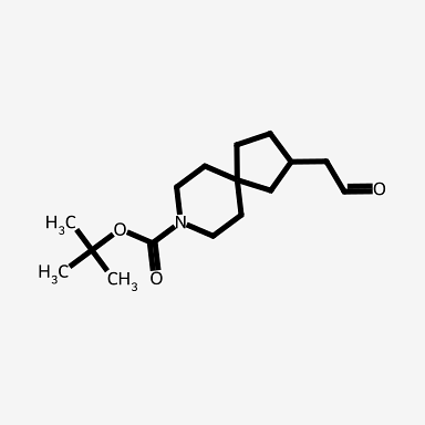 CC(C)(C)OC(=O)N1CCC2(CCC(CC=O)C2)CC1